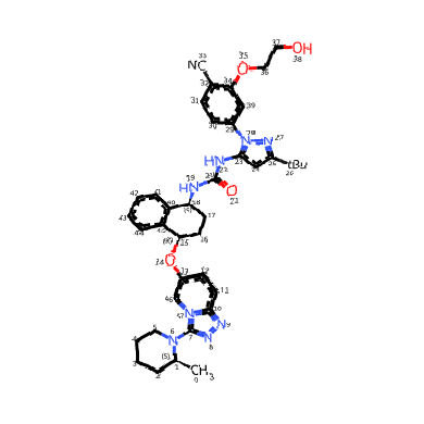 C[C@H]1CCCCN1c1nnc2ccc(O[C@@H]3CC[C@H](NC(=O)Nc4cc(C(C)(C)C)nn4-c4ccc(C#N)c(OCCO)c4)c4ccccc43)cn12